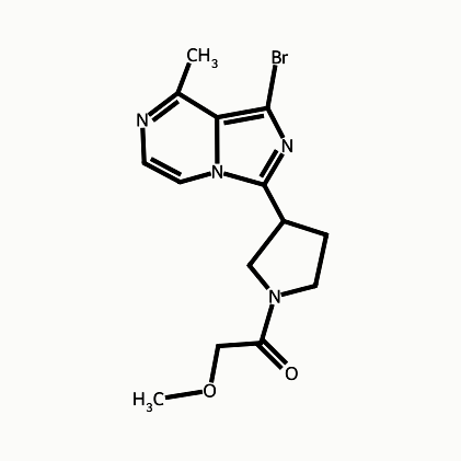 COCC(=O)N1CCC(c2nc(Br)c3c(C)nccn23)C1